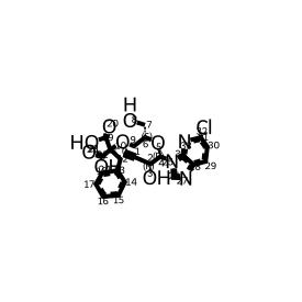 C#C[C@@H](O)[C@@H](O[C@@H](CO)COC(Cc1ccccc1)(C(=O)O)C(=O)O)n1cnc2ccc(Cl)nc21